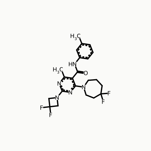 Cc1cccc(NC(=O)c2c(C)nc(N3CC(F)(F)C3)nc2N2CCCC(F)(F)CC2)c1